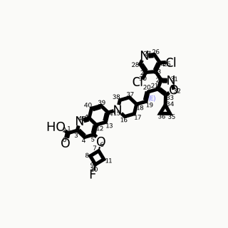 O=C(O)c1cc(O[C@H]2C[C@H](F)C2)c2cc(N3CCC(/C=C/c4c(-c5c(Cl)cncc5Cl)noc4C4CC4)CC3)ccc2n1